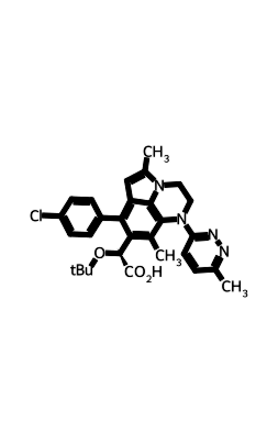 Cc1ccc(N2CCn3c(C)cc4c(-c5ccc(Cl)cc5)c([C@H](OC(C)(C)C)C(=O)O)c(C)c2c43)nn1